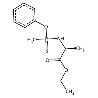 CCOC(=O)[C@H](C)NP(C)(=S)Oc1ccccc1